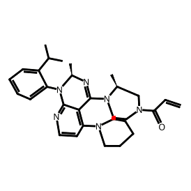 C=CC(=O)N1CCN(C2=N[C@H](C)N(c3ccccc3C(C)C)c3nccc(N4CCCCC4)c32)[C@@H](C)C1